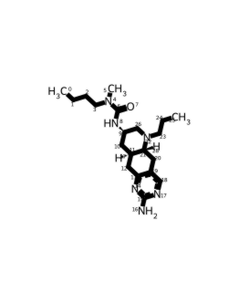 CCCCN(C)C(=O)N[C@H]1C[C@@H]2Cc3nc(N)ncc3C[C@H]2N(CCC)C1